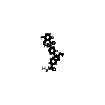 NC(=O)c1ccc2c(c1)nc(CF)n2-c1ccc(NC(=O)c2cccc(F)c2F)cc1